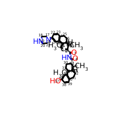 C[C@@H]1[C@@H](C(=O)NC(=O)[C@H]2CC[C@]3(C)c4cc(N5CCNCC5)ccc4CC[C@H]3[C@@H]2C)CC[C@]2(C)c3cc(O)ccc3CC[C@@H]12